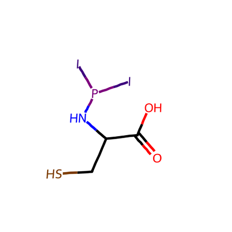 O=C(O)C(CS)NP(I)I